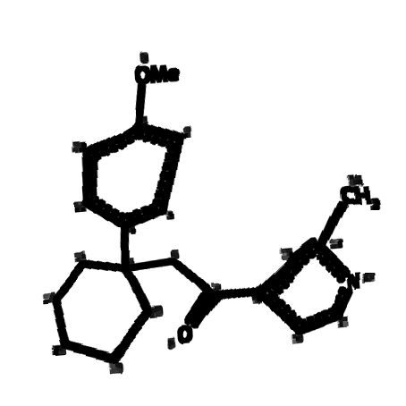 COc1ccc(C2(CC(=O)c3ccnc(C)c3)CCCCC2)cc1